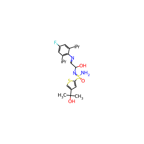 CC(C)c1cc(F)cc(C(C)C)c1/N=C/C(O)N=S(N)(=O)c1cc(C(C)(C)O)cs1